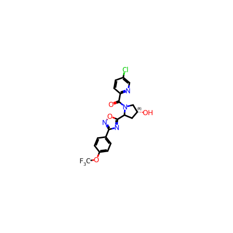 O=C(c1ccc(Cl)cn1)N1C[C@H](O)CC1c1nc(-c2ccc(OC(F)(F)F)cc2)no1